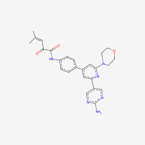 CC(C)=CC(=O)C(=O)Nc1ccc(-c2cc(-c3cnc(N)nc3)nc(N3CCOCC3)c2)cc1